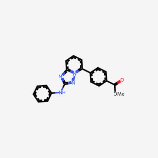 COC(=O)c1ccc(-c2cccc3nc(Nc4ccccc4)nn23)cc1